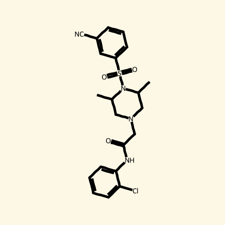 CC1CN(CC(=O)Nc2ccccc2Cl)CC(C)N1S(=O)(=O)c1cccc(C#N)c1